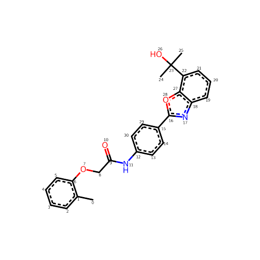 Cc1ccccc1OCC(=O)Nc1ccc(-c2nc3cccc(C(C)(C)O)c3o2)cc1